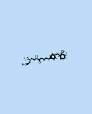 C#CCN(C)CCNC(=O)CCCCc1ccc(Cc2ccccc2C)cc1